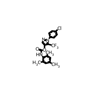 Cc1cc(C)c(NC(=O)Oc2cnn(-c3ccc(Cl)cc3)c2C(F)(F)F)c(C)c1